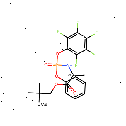 COC(C)(C)COC(=O)[C@H](C)NP(=O)(Oc1ccccc1)Oc1c(F)c(F)c(F)c(F)c1F